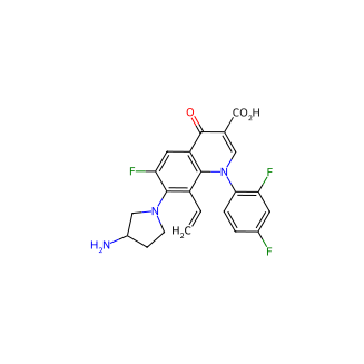 C=Cc1c(N2CCC(N)C2)c(F)cc2c(=O)c(C(=O)O)cn(-c3ccc(F)cc3F)c12